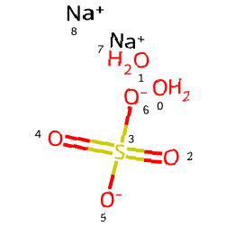 O.O.O=S(=O)([O-])[O-].[Na+].[Na+]